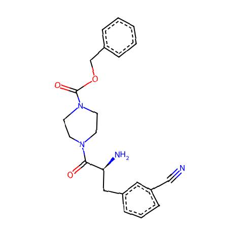 N#Cc1cccc(C[C@H](N)C(=O)N2CCN(C(=O)OCc3ccccc3)CC2)c1